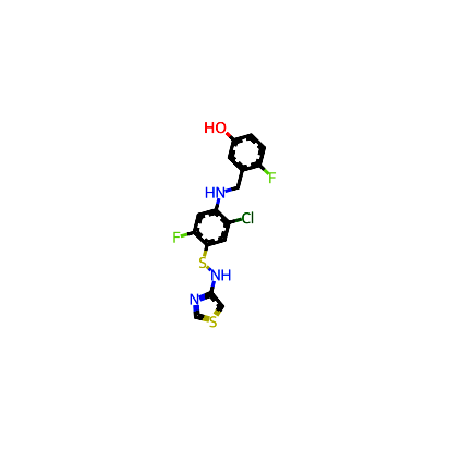 Oc1ccc(F)c(CNc2cc(F)c(SNc3cscn3)cc2Cl)c1